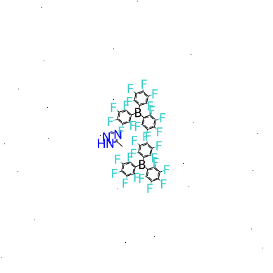 Cc1ncn[nH]1.Fc1c(F)c(F)c(B(c2c(F)c(F)c(F)c(F)c2F)c2c(F)c(F)c(F)c(F)c2F)c(F)c1F.Fc1c(F)c(F)c(B(c2c(F)c(F)c(F)c(F)c2F)c2c(F)c(F)c(F)c(F)c2F)c(F)c1F